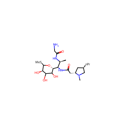 CCC[C@@H]1C[C@@H](CC(=O)N[C@H]([C@H](C)NC(=O)CN)[C@H]2OC(SC)[C@H](O)C(O)C2O)N(C)C1